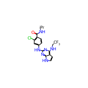 CC(C)NC(=O)c1ccc(Nc2nc(NCC(F)(F)F)c3cc[nH]c3n2)cc1Cl